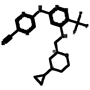 N#Cc1cnc(Nc2cc(NC[C@@H]3CN(C4CC4)CCO3)c(C(F)(F)F)nn2)cn1